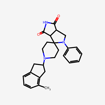 Cc1cccc2c1CC(N1CCC3(CC1)C1C(=O)NC(=O)C1CN3c1ccccc1)C2